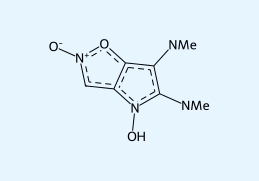 CNc1c(NC)n(O)c2c[n+]([O-])oc12